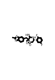 Cc1nc2ccc(CC3(C)C(=N)N[C@H](c4cc(F)ccc4F)CS3(=O)=O)cc2s1